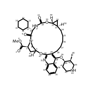 COC(=O)[C@@H]1C[C@@H]2CN1C(=O)[C@H](C1CCCCC1)NC(=O)O[C@@H]1C[C@H]1CCCCCc1c(nc3ccccc3c1O[C@@H]1CCNC[C@@H]1F)O2